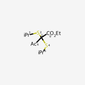 CCOC(=O)C(SC(C)C)(SC(C)C)C(C)=O